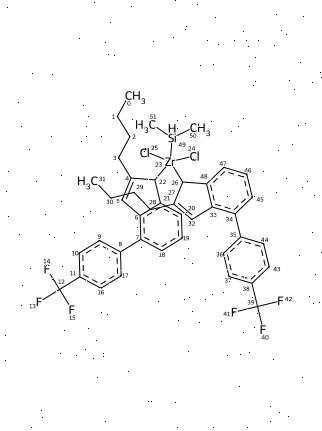 CCCCC1=Cc2c(-c3ccc(C(F)(F)F)cc3)cccc2[CH]1[Zr]([Cl])([Cl])([CH]1C(CCCC)=Cc2c(-c3ccc(C(F)(F)F)cc3)cccc21)[SiH](C)C